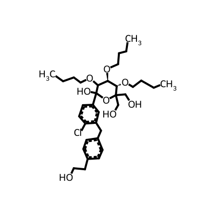 CCCCOC1[C@@H](OCCCC)[C@H](OCCCC)C(CO)(CO)OC1(O)c1ccc(Cl)c(Cc2ccc(CCO)cc2)c1